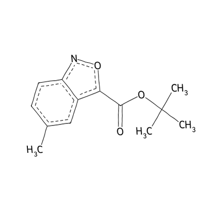 Cc1ccc2noc(C(=O)OC(C)(C)C)c2c1